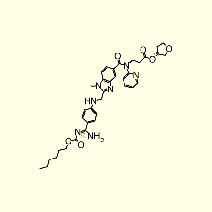 CCCCCCOC(=O)/N=C(\N)c1ccc(NCc2nc3cc(C(=O)N(CCC(=O)O[C@H]4CCOC4)c4ccccn4)ccc3n2C)cc1